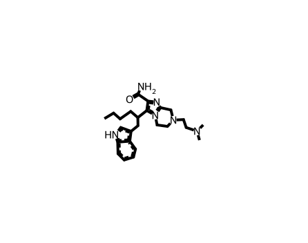 CCCCC(Cc1c[nH]c2ccccc12)c1c(C(N)=O)nc2n1CCN(CCN(C)C)C2